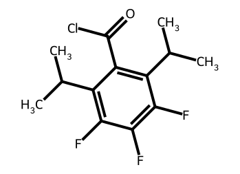 CC(C)c1c(F)c(F)c(F)c(C(C)C)c1C(=O)Cl